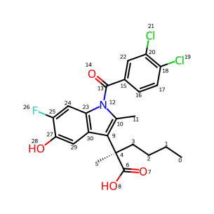 CCCC[C@@](C)(C(=O)O)c1c(C)n(C(=O)c2ccc(Cl)c(Cl)c2)c2cc(F)c(O)cc12